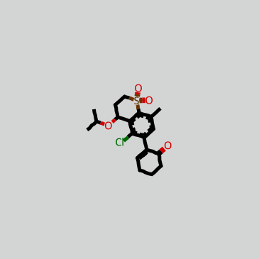 Cc1cc(C2=CCCCC2=O)c(Cl)c2c1S(=O)(=O)CCC2OC(C)C